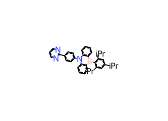 CC(C)c1cc(C(C)C)c(B2c3ccccc3N(c3ccc(-c4ncccn4)cc3)c3ccccc32)c(C(C)C)c1